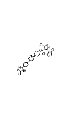 O=c1[nH]c(-c2ccc(-c3ccc(N4CCC(OCc5c(-c6c(Cl)cccc6Cl)noc5C5CC5)CC4)nc3)cc2)no1